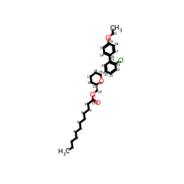 CCCCCCCCCCCC(=O)OC[C@H]1CCC[C@H](c2ccc(Cl)c(-c3ccc(OCC)cc3)c2)O1